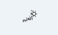 Cc1cccc(CCNCC(C)C)n1